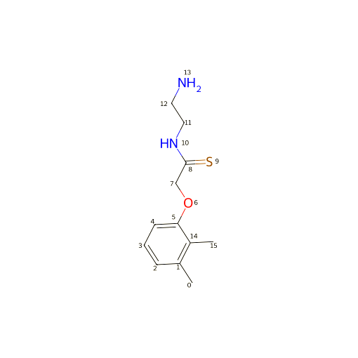 Cc1cccc(OCC(=S)NCCN)c1C